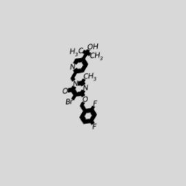 Cc1nc(OCc2ccc(F)cc2F)c(Br)c(=O)n1Cc1ccc(C(C)(C)O)cn1